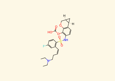 CCN(CC)CC/C=C\c1cc(F)ccc1S(=O)(=O)Nc1ccc2c(c1OC(=O)O)OC[C@H]1C[C@@H]21